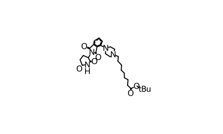 CC(C)(C)OC(=O)CCCCCCCCN1CCN(c2cccc3c2C(=O)N(C2CCC(=O)NC2=O)C3=O)CC1